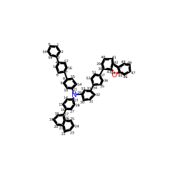 c1ccc(-c2ccc(-c3ccc(N(c4ccc(-c5cccc6ccccc56)cc4)c4cccc(-c5ccc(-c6cccc7c6oc6ccccc67)cc5)c4)cc3)cc2)cc1